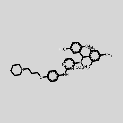 Cc1cc(C)c(C(c2cc(C)ccc2C)N(C(=O)O)c2ccnc(Nc3ccc(OCCCN4CCCCC4)cc3)n2)c(C)c1